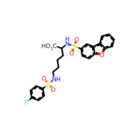 O=C(O)C(CCCCNS(=O)(=O)c1ccc(F)cc1)NS(=O)(=O)c1ccc2oc3ccccc3c2c1